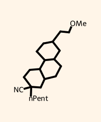 CCCCCC1(C#N)CCC2C(CCC3CC(CCOC)CCC32)C1